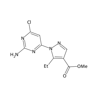 CCc1c(C(=O)OC)cnn1-c1cc(Cl)nc(N)n1